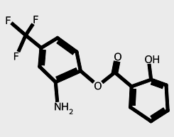 Nc1cc(C(F)(F)F)ccc1OC(=O)c1ccccc1O